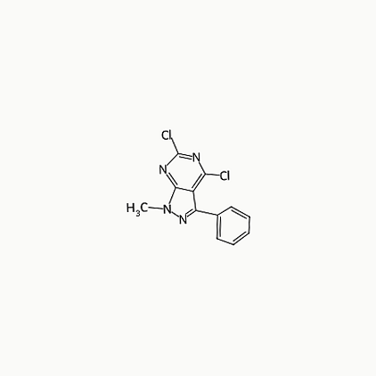 Cn1nc(-c2ccccc2)c2c(Cl)nc(Cl)nc21